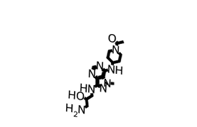 CC(=O)N1CCC(Nc2ncnc3c(NCC(O)CN)nn(C)c23)CC1